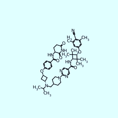 Cc1cc(O[C@H]2C(C)(C)[C@H](NC(=O)c3cnc(N4CCC(CN(C(C)C)[C@H]5C[C@H](Oc6ccc(C(=O)NC7CCC(=O)NC7=O)cc6)C5)CC4)nc3)C2(C)C)cc(C)c1C#N